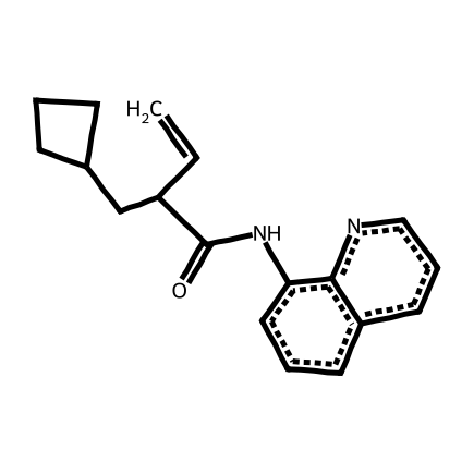 C=CC(CC1CCC1)C(=O)Nc1cccc2cccnc12